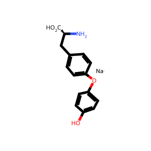 N[C@@H](Cc1ccc(Oc2ccc(O)cc2)cc1)C(=O)O.[Na]